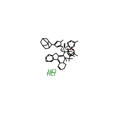 Cl.Cl.[CH2]=[Zr]([C]1=CC(C2C3CC4CC(C3)CC2C4)=CC1C)([c]1ccc(C)cc1)([c]1ccc(C)cc1)[C]1(C)C2=C3Cc4ccccc4C3=C3C=CCCC3C2(C)C(C)(C)C(C)(C)C1(C)C